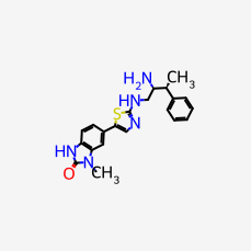 C[C@@H](c1ccccc1)[C@H](N)CNc1ncc(-c2ccc3[nH]c(=O)n(C)c3c2)s1